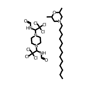 CCCCCCCCCCCCCN1CC(C)OC(C)C1.O=CNC(N1CCN(C(NC=O)C(Cl)(Cl)Cl)CC1)C(Cl)(Cl)Cl